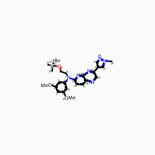 COc1cc(OC)cc(N(CCO[Si](C)(C)C(C)(C)C)c2ccc3ncc(-c4cnn(C)c4)nc3n2)c1